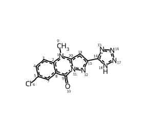 Cn1c2ccc(Cl)cc2c(=O)n2nc(-c3nnn[nH]3)cc12